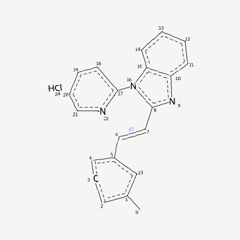 Cc1cccc(/C=C/c2nc3ccccc3n2-c2ccccn2)c1.Cl